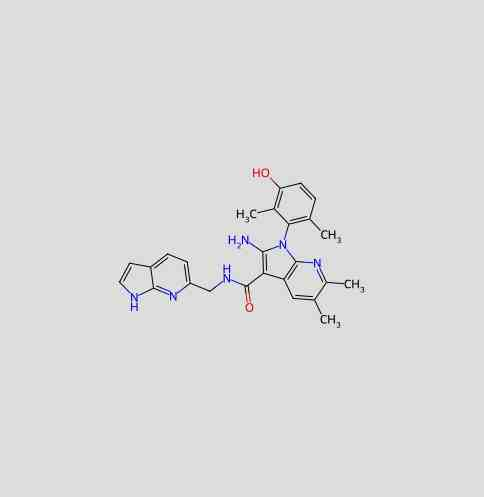 Cc1cc2c(C(=O)NCc3ccc4cc[nH]c4n3)c(N)n(-c3c(C)ccc(O)c3C)c2nc1C